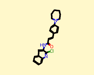 O=C(/C=C/c1ccc(N2CCCCCC2)cc1)Nc1cc2ccccc2nc1Cl